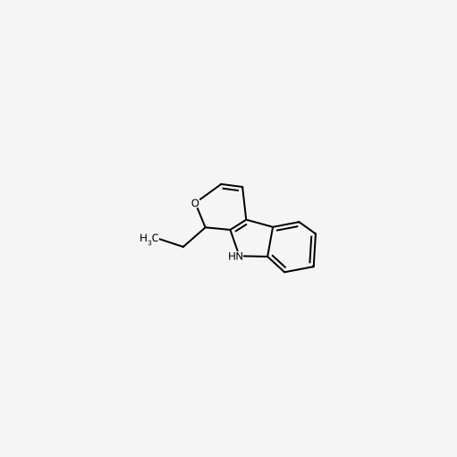 CCC1OC=Cc2c1[nH]c1ccccc21